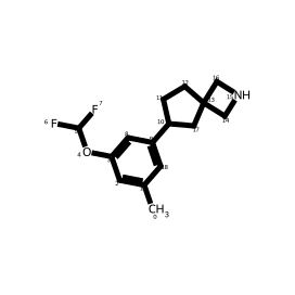 Cc1cc(OC(F)F)cc(C2CCC3(CNC3)C2)c1